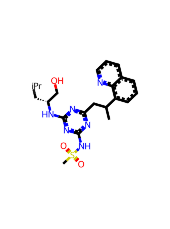 CC(C)C[C@H](CO)Nc1nc(CC(C)c2cccc3cccnc23)nc(NS(C)(=O)=O)n1